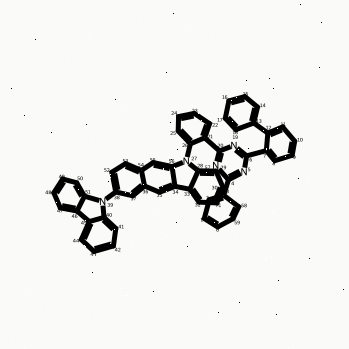 c1ccc(-c2nc(-c3ccccc3-c3ccccc3)nc(-c3ccccc3-n3c4ccccc4c4cc5cc(-n6c7ccccc7c7ccccc76)ccc5cc43)n2)cc1